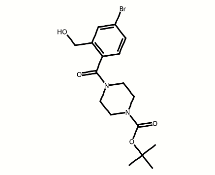 CC(C)(C)OC(=O)N1CCN(C(=O)c2ccc(Br)cc2CO)CC1